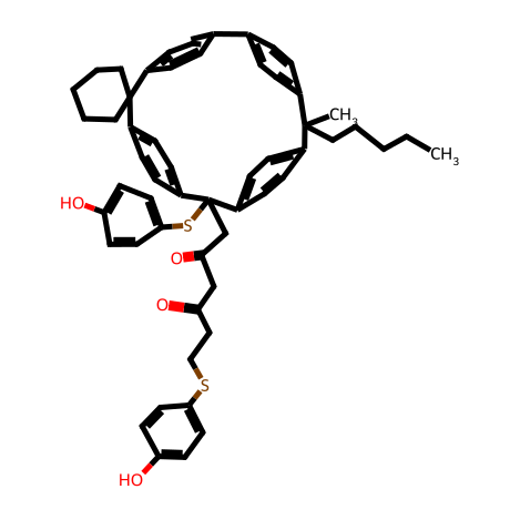 CCCCCC1(C)c2ccc(cc2)-c2ccc(cc2)C2(CCCCC2)c2ccc(cc2)C(CC(=O)CC(=O)CCSc2ccc(O)cc2)(Sc2ccc(O)cc2)c2ccc1cc2